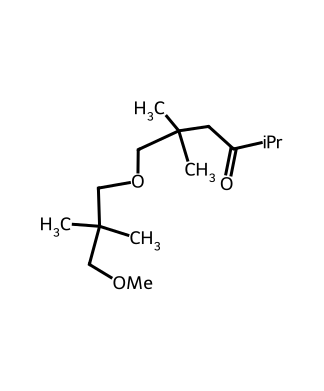 COCC(C)(C)COCC(C)(C)CC(=O)C(C)C